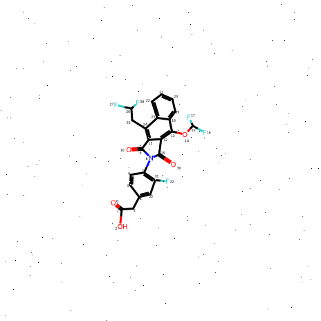 O=C(O)Cc1ccc(N2C(=O)c3c(c(OC(F)F)c4ccccc4c3CC(F)F)C2=O)c(F)c1